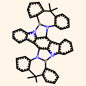 CC1(C)c2ccccc2B2N(c3ccccc31)c1c3c4ccccc4n4c3c(c3c5ccccc5n2c13)N1B4c2ccccc2C(C)(C)c2ccccc21